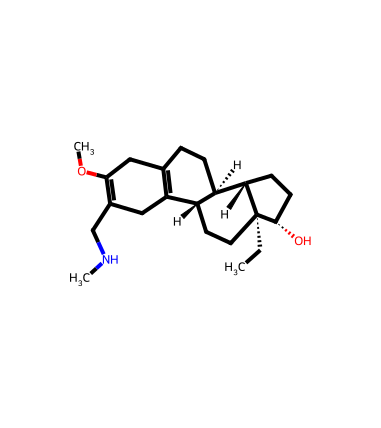 CC[C@]12CC[C@@H]3C4=C(CC[C@H]3[C@@H]1CC[C@@H]2O)CC(OC)=C(CNC)C4